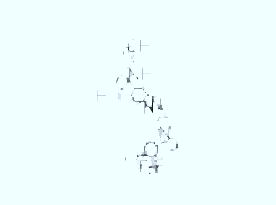 COCCNC(=O)c1cc2cn(CC3CCN(C(=O)c4ccc(Cl)c(C(F)(F)F)c4)CC3)nc2cc1C